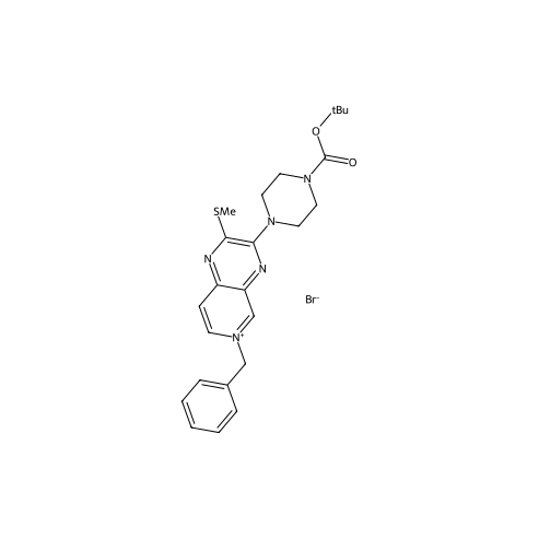 CSc1nc2cc[n+](Cc3ccccc3)cc2nc1N1CCN(C(=O)OC(C)(C)C)CC1.[Br-]